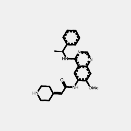 COc1cc2ncnc(N[C@@H](C)c3ccccc3)c2cc1NC(=O)C=C1CCNCC1